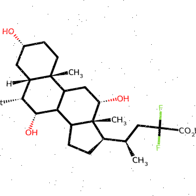 CC[C@H]1[C@@H](O)C2C3CC[C@H]([C@H](C)CC(F)(F)C(=O)O)[C@@]3(C)[C@@H](O)CC2[C@@]2(C)CC[C@@H](O)C[C@@H]12